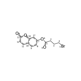 O=C(CCCBr)Oc1ccc2ccc(=O)oc2c1